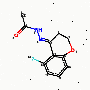 CCC(=O)NN=C1CCOc2cccc(F)c21